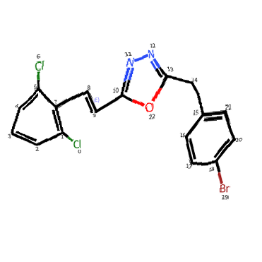 Clc1cccc(Cl)c1/C=C/c1nnc(Cc2ccc(Br)cc2)o1